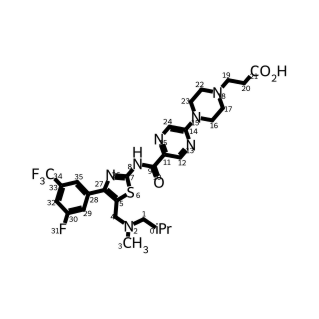 CC(C)CN(C)Cc1sc(NC(=O)c2cnc(N3CCN(CCC(=O)O)CC3)cn2)nc1-c1cc(F)cc(C(F)(F)F)c1